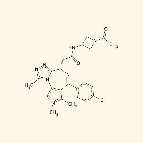 CC(=O)N1CC(NC(=O)C[C@@H]2N=C(c3ccc(Cl)cc3)c3c(cn(C)c3C)-n3c(C)nnc32)C1